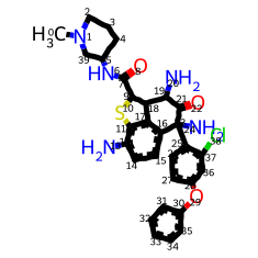 CN1CCCC(NC(=O)C2Sc3c(N)ccc4c3C2C(N)C(=O)C4(N)c2ccc(Oc3ccccc3)cc2Cl)C1